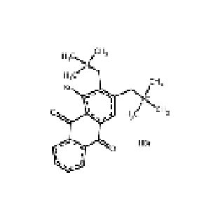 Br.C[N+](C)(C)Cc1cc2c(c(Br)c1C[N+](C)(C)C)C(=O)c1ccccc1C2=O